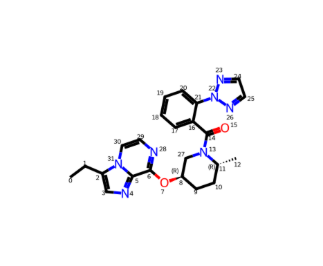 CCc1cnc2c(O[C@@H]3CC[C@@H](C)N(C(=O)c4ccccc4-n4nccn4)C3)nccn12